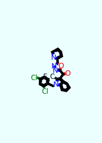 O=C(c1nnc(-c2ccccn2)o1)c1c(C(F)(F)F)n(Cc2ccc(Cl)cc2Cl)c2ccccc12